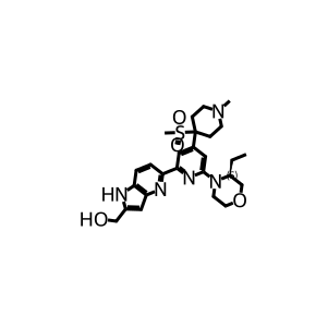 CC[C@H]1COCCN1c1cc(C2(S(C)(=O)=O)CCN(C)CC2)cc(-c2ccc3[nH]c(CO)cc3n2)n1